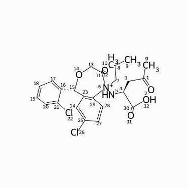 CC(=O)C[C@H](N[N+]1(CC(C)C)C(=O)CO[C@@H](c2ccccc2Cl)c2cc(Cl)ccc21)C(=O)O